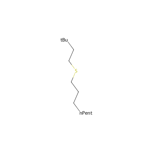 CCCCCCCCSCCC(C)(C)C